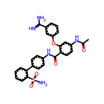 CC(=O)Nc1ccc(C(=O)Nc2ccc(-c3ccccc3S(N)(=O)=O)cc2)c(Oc2cccc(C(=N)N)c2)c1